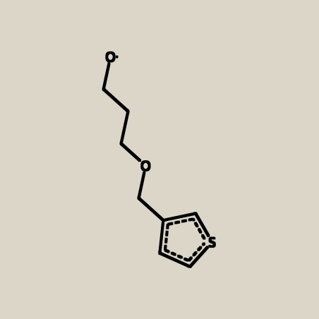 [O]CCCOCc1ccsc1